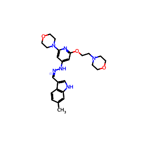 Cc1ccc2c(/C=N\Nc3cc(OCCN4CCOCC4)nc(N4CCOCC4)c3)c[nH]c2c1